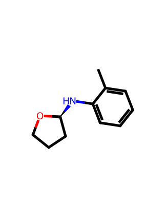 Cc1ccccc1N[C@H]1CCCO1